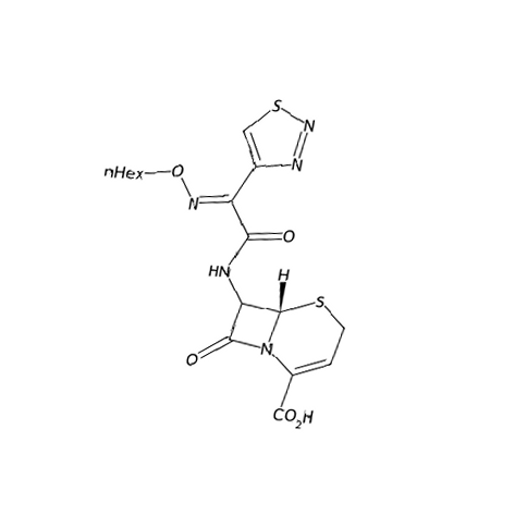 CCCCCCON=C(C(=O)NC1C(=O)N2C(C(=O)O)=CCS[C@@H]12)c1csnn1